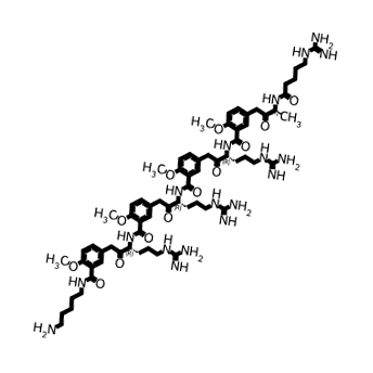 COc1ccc(CC(=O)[C@@H](CCCNC(=N)N)NC(=O)c2cc(CC(=O)[C@@H](CCCNC(=N)N)NC(=O)c3cc(CC(=O)[C@@H](CCCNC(=N)N)NC(=O)c4cc(CC(=O)[C@@H](C)NC(=O)CCCCNC(=N)N)ccc4OC)ccc3OC)ccc2OC)cc1C(=O)NCCCCCN